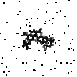 C/C=C(/C(C)C)N(c1cc(Cl)cc(OC(F)(F)F)c1)c1ccc2c3c(sc2c1)C(C)(C)CCC3(C)C